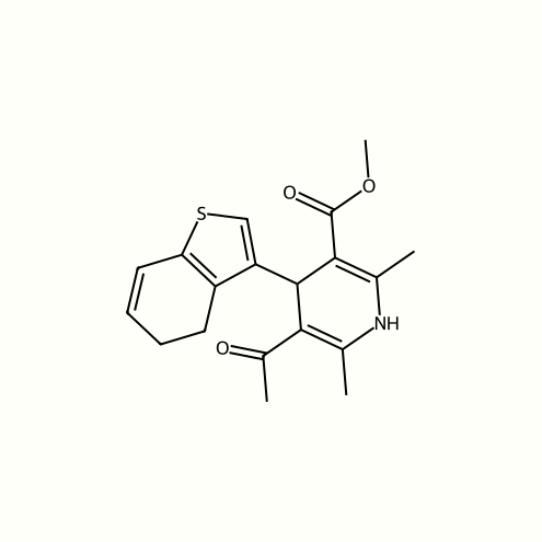 COC(=O)C1=C(C)NC(C)=C(C(C)=O)C1c1csc2c1CCC=C2